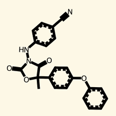 CC1(c2ccc(Oc3ccccc3)cc2)OC(=O)N(Nc2ccc(C#N)cc2)C1=O